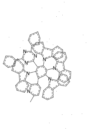 Cc1ccc(-c2c(-n3c4ccccc4c4ccccc43)c(-c3nc(-c4ccccc4)nc(-c4ccccc4)n3)c(-n3c4ccccc4c4ccccc43)c(-n3c4ccccc4c4ccccc43)c2-n2c3ccccc3c3ccccc32)c(C)n1